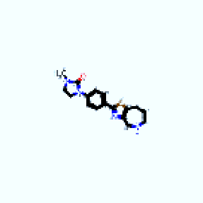 CN1CCN(c2ccc(-c3nc4c(s3)CCCNC4)cc2)C1=O